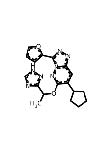 CC(Oc1nn2c(-c3ccco3)nnc2cc1C1CCCC1)c1nc[nH]n1